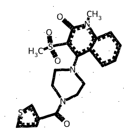 Cn1c(=O)c(S(C)(=O)=O)c(N2CCN(C(=O)c3ccsc3)CC2)c2ccccc21